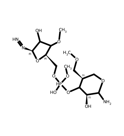 COC[C@H]1COC(N)[C@@H](O)C1O[PH](O)(OC)OC[C@H]1O[C@@H](N=N)C(O)C1OC